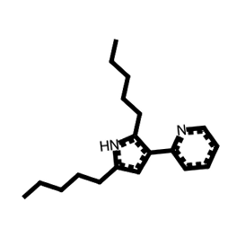 CCCCCc1cc(-c2ccccn2)c(CCCCC)[nH]1